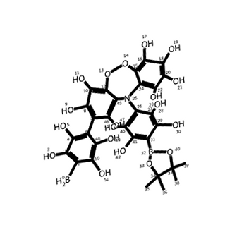 Bc1c(O)c(O)c(-c2c(O)c(O)c3ooc4c(O)c(O)c(O)c(O)c4n(-c4c(O)c(O)c(B5OC(C)(C)C(C)(C)O5)c(O)c4O)c3c2O)c(O)c1O